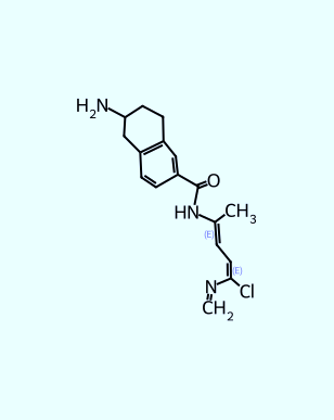 C=N/C(Cl)=C\C=C(/C)NC(=O)c1ccc2c(c1)CCC(N)C2